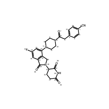 N#Cc1ccc(CC(=O)N2CCN(c3cc(F)cc4c3CN(C3CCC(=O)NC3=O)C4=O)CC2)cc1